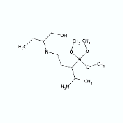 CCC(CO)NCCC(C(C)N)[Si](OC)(OC)OC